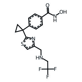 O=C(NO)c1ccc(C2(c3nc(CNCC(F)(F)F)cs3)CC2)cc1